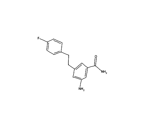 NC(=O)c1cc(N)cc(CCc2ccc(F)cc2)c1